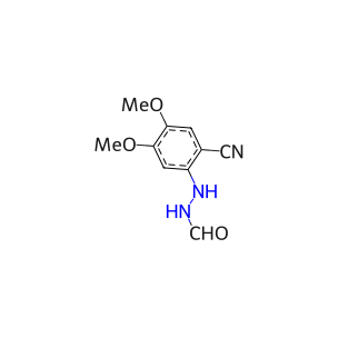 COc1cc(C#N)c(NNC=O)cc1OC